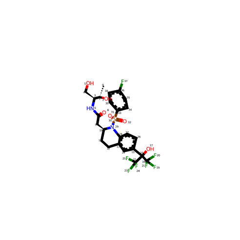 C[C@H](O)[C@H](CO)NC(=O)C[C@@H]1CCc2cc(C(O)(C(F)(F)F)C(F)(F)F)ccc2N1S(=O)(=O)c1ccc(F)cc1